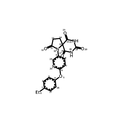 CCc1ccc(Oc2ccc(N3C(=O)CCC34C(=O)NC(=O)NC4=O)cn2)cc1